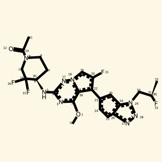 COc1nc(N[C@@H]2CCN(C(C)=O)CC2(F)F)nn2cc(F)c(-c3ccc4nnn(C[C@@H](C)F)c4c3)c12